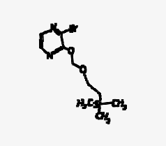 C[Si](C)(C)CCOCOc1nccnc1Br